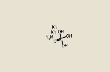 N.O=P(O)(O)O.[KH].[KH]